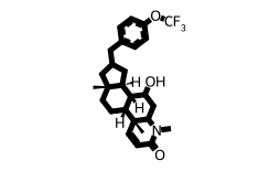 CN1C(=O)C=C[C@@]2(C)C1CC(O)[C@@H]1[C@H]2CC[C@]2(C)CC(Cc3ccc(OC(F)(F)F)cc3)C[C@@H]12